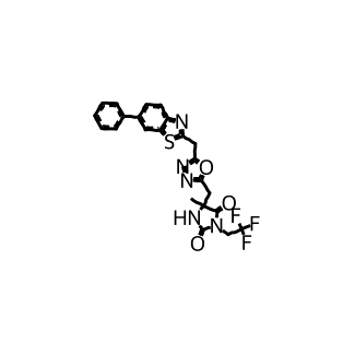 CC1(Cc2nnc(Cc3nc4ccc(-c5ccccc5)cc4s3)o2)NC(=O)N(CC(F)(F)F)C1=O